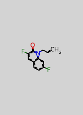 C=CCn1c(=O)c(F)cc2ccc(F)cc21